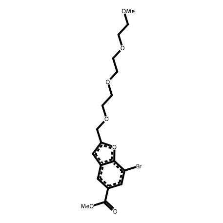 COCCOCCOCCOCc1cc2cc(C(=O)OC)cc(Br)c2o1